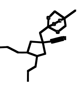 CCCC1CC(C#N)(CC23OCC(C)(CO2)CO3)CC1CCC